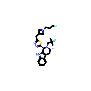 C[C@@H]1Cc2c([nH]c3ccccc23)[C@@H](c2nnc(CC3CN(CCCF)C3)s2)N1CC(C)(C)F